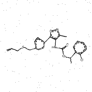 C=CCSCc1ccc(-c2onc(C)c2NC(=O)OC(C)c2ccccc2Cl)cc1